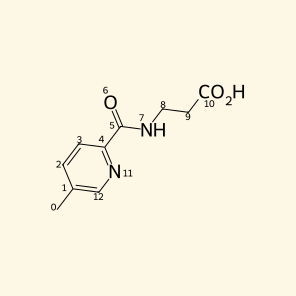 Cc1ccc(C(=O)NCCC(=O)O)nc1